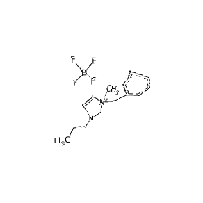 CCCN1C=C[N+](C)(Cc2ccccc2)C1.F[B-](F)(F)F